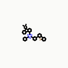 CCCC1(CCC)c2ccccc2-c2c(-c3nc(-c4ccccc4)nc(-c4cccc(-c5cccc6c5sc5ccccc56)c4)n3)cccc21